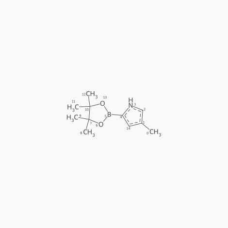 Cc1c[nH]c(B2OC(C)(C)C(C)(C)O2)c1